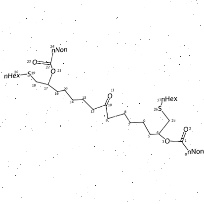 CCCCCCCCCC(=O)OC(CCCCCC(=O)CCCCCC(CSCCCCCC)OC(=O)CCCCCCCCC)CSCCCCCC